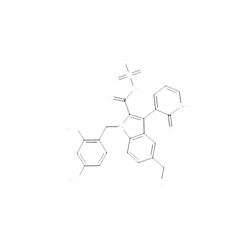 CCc1ccc2c(c1)c(-c1ccc[nH]c1=O)c(C(=O)NS(C)(=O)=O)n2Cc1ccc(C)cc1C